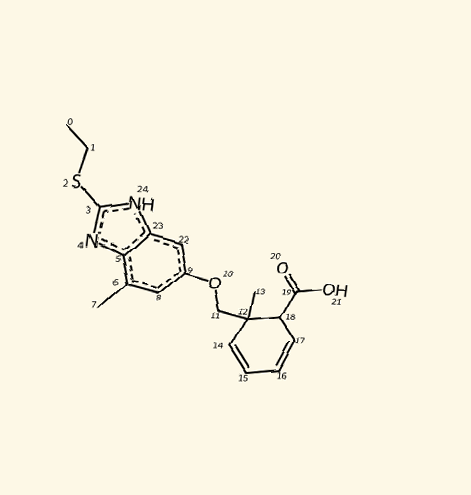 CCSc1nc2c(C)cc(OCC3(C)C=CC=CC3C(=O)O)cc2[nH]1